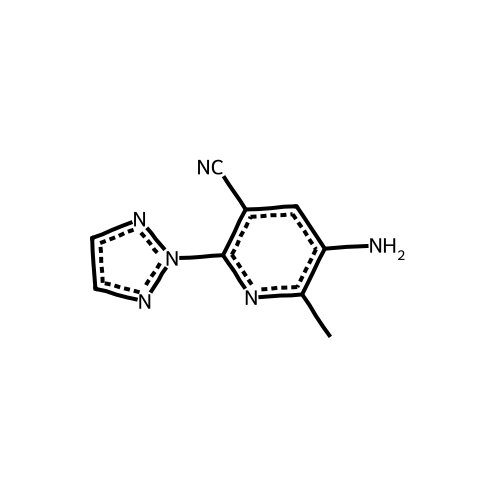 Cc1nc(-n2nccn2)c(C#N)cc1N